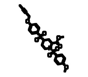 CC#CCOc1ccc(S(=O)(=O)C2CCN(S(=O)(=O)c3ccc(OC)cc3)C(C(=O)OC)C2)cc1